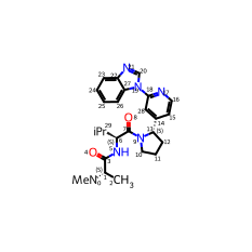 CN[C@@H](C)C(=O)N[C@H](C(=O)N1CCC[C@H]1c1ccnc(-n2cnc3ccccc32)c1)C(C)C